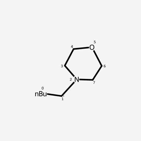 CCCC[CH]N1CCOCC1